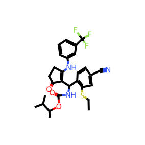 CCSc1cc(C#N)ccc1C(NC(=O)OC(C)C(C)C)C1=C(Nc2cccc(C(F)(F)F)c2)CCC1=O